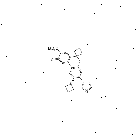 CCOC(=O)c1cn2c(cc1=O)-c1cc(N3CCC3)c(-c3ccoc3)cc1CC21CCC1